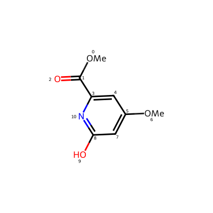 COC(=O)c1cc(OC)cc(O)n1